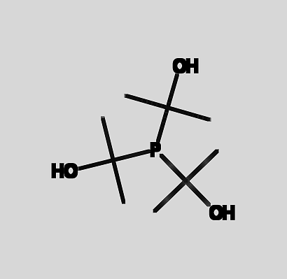 CC(C)(O)P(C(C)(C)O)C(C)(C)O